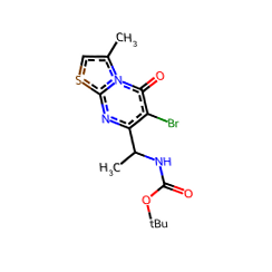 Cc1csc2nc(C(C)NC(=O)OC(C)(C)C)c(Br)c(=O)n12